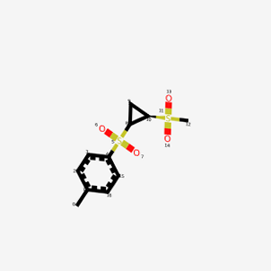 Cc1ccc(S(=O)(=O)C2C[C@H]2S(C)(=O)=O)cc1